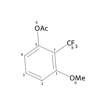 COc1cccc(OC(C)=O)c1C(F)(F)F